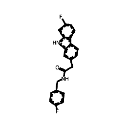 O=C(Cc1ccc2c(c1)[nH]c1cc(F)ccc12)NCc1ccc(F)cc1